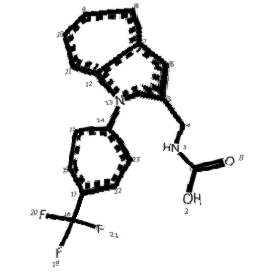 O=C(O)NCc1cc2ccccc2n1-c1ccc(C(F)(F)F)cc1